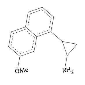 COc1ccc2cccc(C3CC3N)c2c1